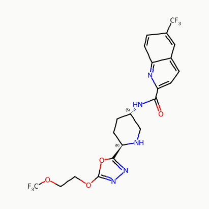 O=C(N[C@H]1CC[C@H](c2nnc(OCCOC(F)(F)F)o2)NC1)c1ccc2cc(C(F)(F)F)ccc2n1